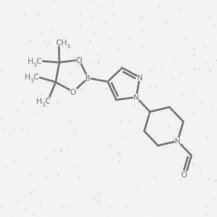 CC1(C)OB(c2cnn(C3CCN(C=O)CC3)c2)OC1(C)C